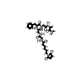 CC(NC(=O)CNC(=O)C(Cc1ccccc1)NC(=O)CNC(=O)CNC(=O)CCCCCN1C(=O)C=CC1=O)C(=O)N(C)C